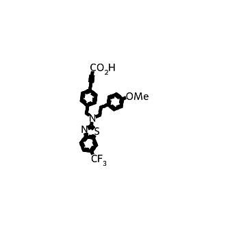 COc1ccc(CCN(Cc2ccc(C#CC(=O)O)cc2)c2nc3ccc(C(F)(F)F)cc3s2)cc1